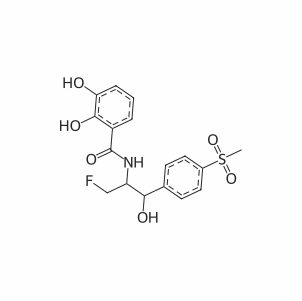 CS(=O)(=O)c1ccc(C(O)C(CF)NC(=O)c2cccc(O)c2O)cc1